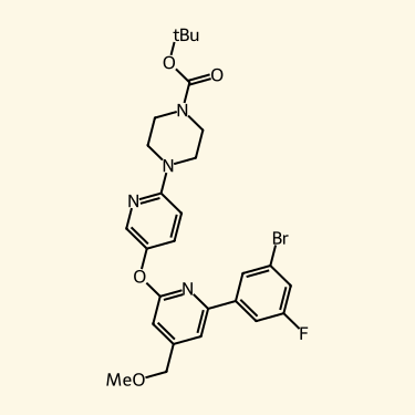 COCc1cc(Oc2ccc(N3CCN(C(=O)OC(C)(C)C)CC3)nc2)nc(-c2cc(F)cc(Br)c2)c1